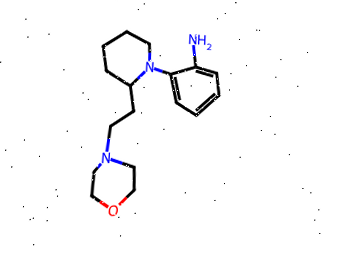 Nc1ccccc1N1CCCCC1CCN1CCOCC1